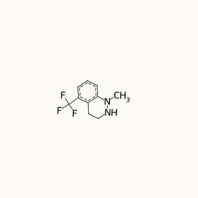 CN1NCCc2c1cccc2C(F)(F)F